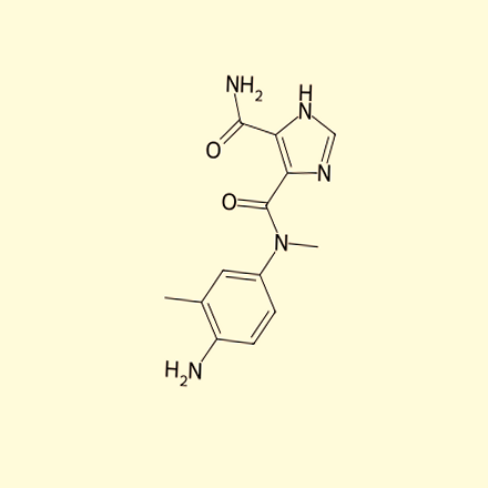 Cc1cc(N(C)C(=O)c2nc[nH]c2C(N)=O)ccc1N